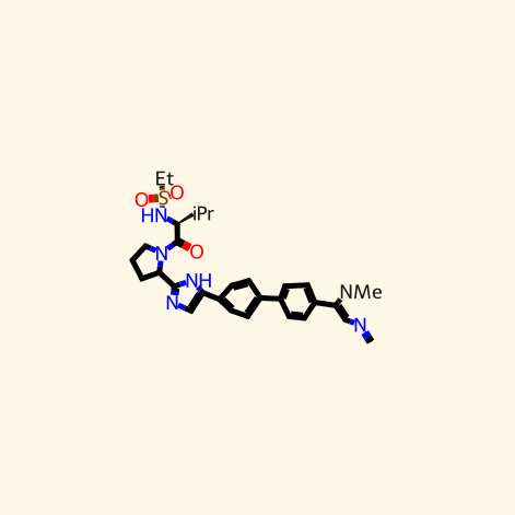 C=N/C=C(\NC)c1ccc(-c2ccc(-c3cnc(C4CCCN4C(=O)[C@@H](NS(=O)(=O)CC)C(C)C)[nH]3)cc2)cc1